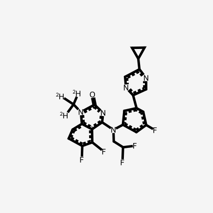 [2H]C([2H])([2H])n1c(=O)nc(N(CC(F)F)c2cc(F)cc(-c3cnc(C4CC4)cn3)c2)c2c(F)c(F)ccc21